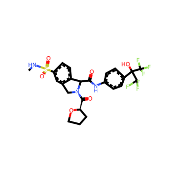 CNS(=O)(=O)c1ccc2c(c1)CN(C(=O)[C@H]1CCCO1)C2C(=O)Nc1ccc(C(O)(C(F)(F)F)C(F)(F)F)cc1